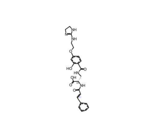 O=C(/C=C/c1ccccc1)N[C@@H](CNC(=O)c1ccc(OCCNC2=NCCN2)cc1O)C(=O)O